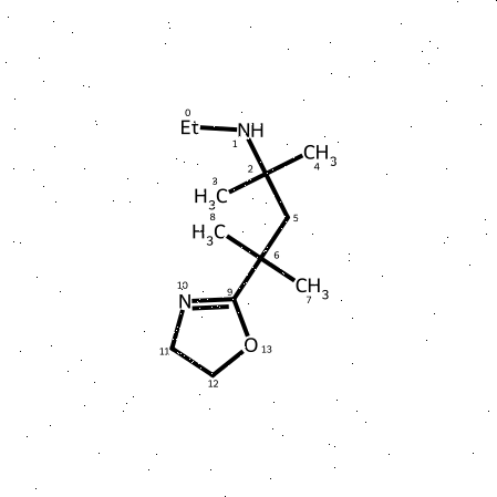 CCNC(C)(C)CC(C)(C)C1=NCCO1